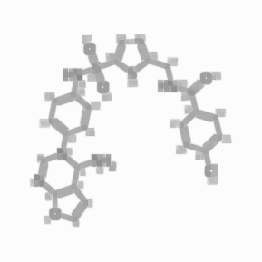 NC1c2ccoc2N=CN1c1ccc(NS(=O)(=O)c2ccc(CNC(=O)c3ccc(Cl)cc3)s2)cc1